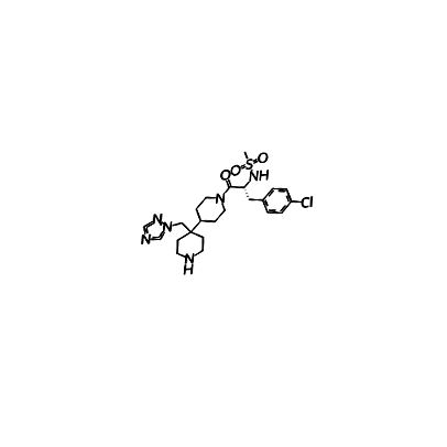 CS(=O)(=O)N[C@H](Cc1ccc(Cl)cc1)C(=O)N1CCC(C2(Cn3cncn3)CCNCC2)CC1